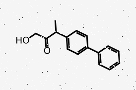 CC(C(=O)CO)c1ccc(-c2ccccc2)cc1